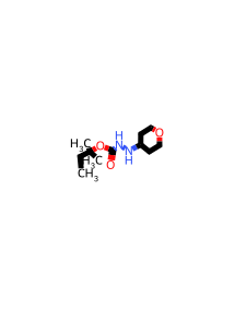 CCC(C)(C)OC(=O)NNC1CCOCC1